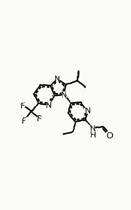 CCc1cc(-n2c(C(C)C)nc3ccc(C(F)(F)F)nc32)cnc1NC=O